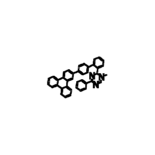 CN1C=NC(c2ccccc2)=NC1c1ccccc1-c1ccc(-c2ccc3c4ccccc4c4ccccc4c3c2)cc1